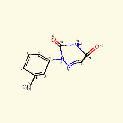 O=Nc1cccc(-n2ncc(=O)[nH]c2=O)c1